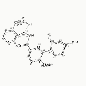 COc1ccc(C(=O)N[C@@H](CC(=O)O)c2ccccc2C)nc1-c1ccc(F)cc1F